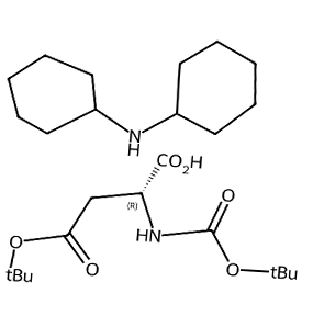 C1CCC(NC2CCCCC2)CC1.CC(C)(C)OC(=O)C[C@@H](NC(=O)OC(C)(C)C)C(=O)O